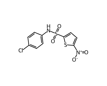 O=[N+]([O-])c1ccc(S(=O)(=O)Nc2ccc(Cl)cc2)s1